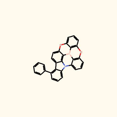 c1ccc(-c2cccc3c2c2ccc4c5c2n3-c2cccc3c2B5c2c(cccc2O4)O3)cc1